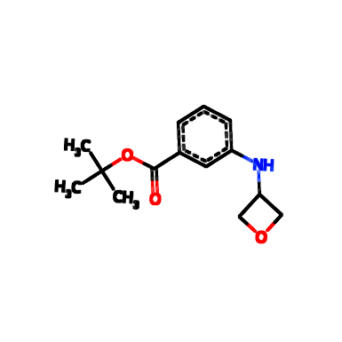 CC(C)(C)OC(=O)c1cccc(NC2COC2)c1